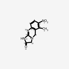 Cc1c([N+](=O)[O-])ccc2c1CN1CC(=O)NC1=N2